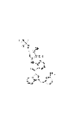 Cc1cccc(Cn2cc(C(=O)c3cncnc3N[C@@H]3C[C@H](COS(N)(=O)=O)[C@@H](O)[C@H]3O)c3ccccc32)n1